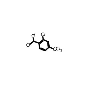 Clc1cc(C(Cl)(Cl)Cl)ccc1C(Cl)Cl